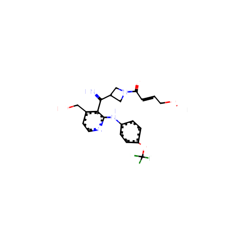 COC/C=C/C(=O)N1CC(C(=N)c2c(CO)ccnc2Nc2ccc(OC(F)(F)F)cc2)C1